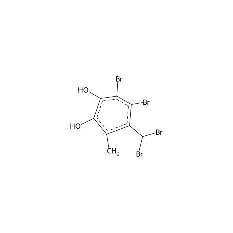 Cc1c(O)c(O)c(Br)c(Br)c1C(Br)Br